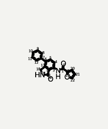 O=C(Nc1ccc(-c2ccccc2)c2c1C(=O)NC2)c1ccco1